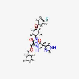 CC(C)(C(=O)N[C@@H](COCc1ccccc1)C(=O)Nc1ccc(Oc2ccc(F)cc2)cc1)c1c[nH]cn1